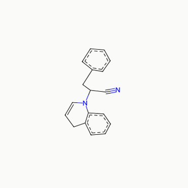 N#CC(Cc1ccccc1)N1C=CCc2ccccc21